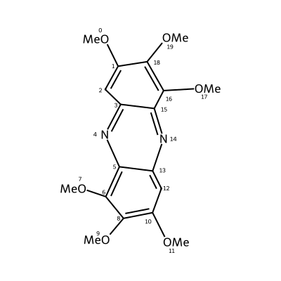 COc1cc2nc3c(OC)c(OC)c(OC)cc3nc2c(OC)c1OC